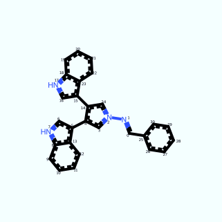 C(=Nn1cc(-c2c[nH]c3ccccc23)c(-c2c[nH]c3ccccc23)c1)c1ccccc1